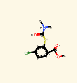 COC(=O)c1ccc(Cl)cc1SC(=O)N(C)C